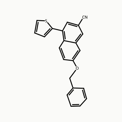 N#Cc1cc(-c2cccs2)c2ccc(OCc3ccccc3)cc2c1